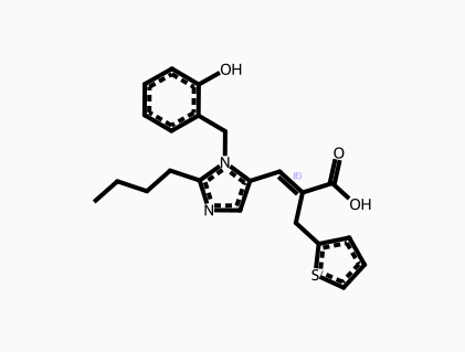 CCCCc1ncc(/C=C(\Cc2cccs2)C(=O)O)n1Cc1ccccc1O